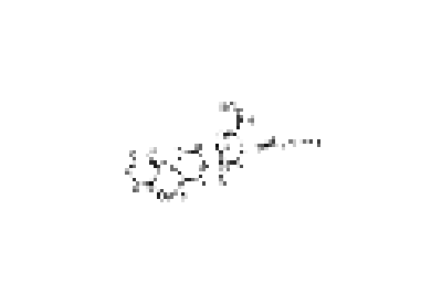 CCCCCC#CC(CS(=O)(=O)N1CCN(c2ccccc2OC)CC1)C(=O)NO